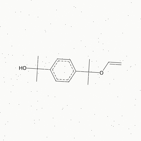 C=COC(C)(C)c1ccc(C(C)(C)O)cc1